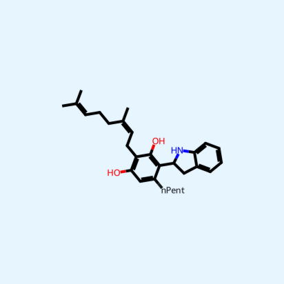 CCCCCc1cc(O)c(CC=C(C)CCC=C(C)C)c(O)c1C1Cc2ccccc2N1